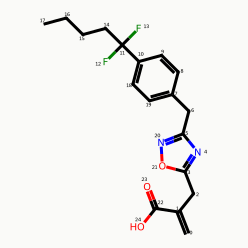 C=C(Cc1nc(Cc2ccc(C(F)(F)CCCC)cc2)no1)C(=O)O